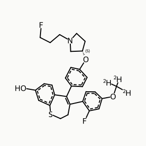 [2H]C([2H])([2H])Oc1ccc(C2=C(c3ccc(O[C@H]4CCN(CCCF)C4)cc3)c3ccc(O)cc3SCC2)c(F)c1